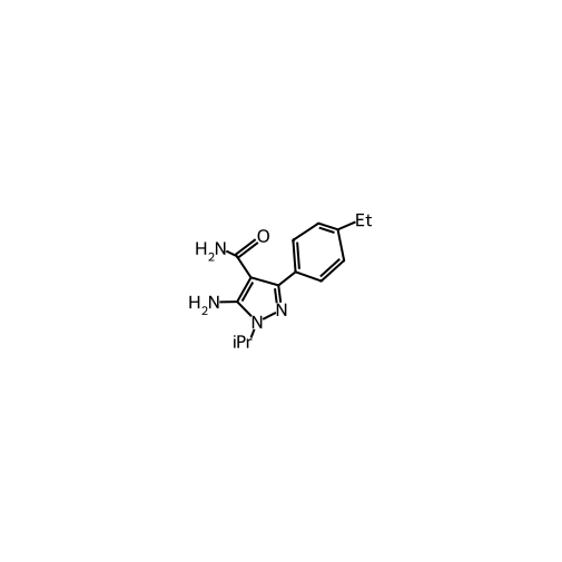 CCc1ccc(-c2nn(C(C)C)c(N)c2C(N)=O)cc1